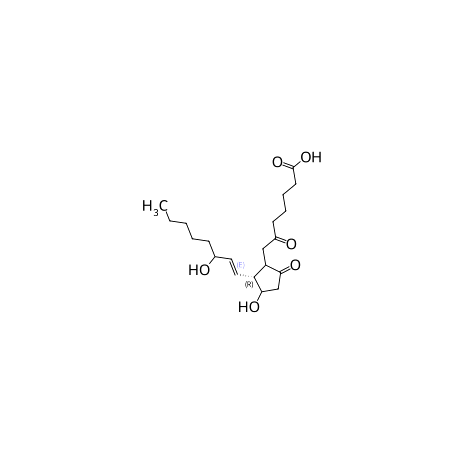 CCCCCC(O)/C=C/[C@H]1C(O)CC(=O)C1CC(=O)CCCCC(=O)O